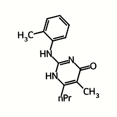 CCCc1[nH]c(Nc2ccccc2C)nc(=O)c1C